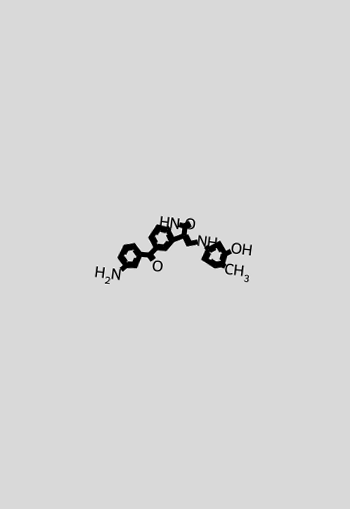 Cc1ccc(NC=C2C(=O)Nc3ccc(C(=O)c4cccc(N)c4)cc32)cc1O